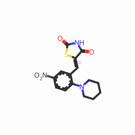 O=C1NC(=O)/C(=C/c2cc([N+](=O)[O-])ccc2N2CCCCC2)S1